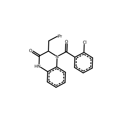 CC(C)CC1C(=O)Nc2ccccc2N1C(=O)c1ccccc1Cl